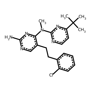 CN(c1nccc(C(C)(C)C)n1)c1nc(N)ncc1CCc1ccccc1Cl